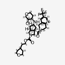 O=C(OCCC1CCOCC1)N1C[C@H]2C[C@H](N[C@@H]3CCOC[C@@H]3O)C[C@@]2(C(=O)N2CCc3ncc(C(F)(F)F)cc3C2)C1